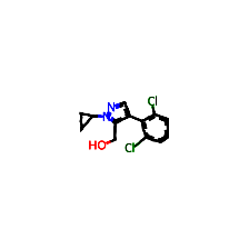 OCc1c(-c2c(Cl)cccc2Cl)cnn1C1CC1